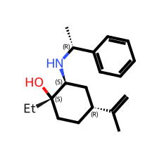 C=C(C)[C@@H]1CC[C@@](O)(CC)[C@@H](N[C@H](C)c2ccccc2)C1